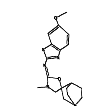 COc1ccc2nc(/N=C3\OC4(CN5CCC4CC5)CN3C)sc2c1